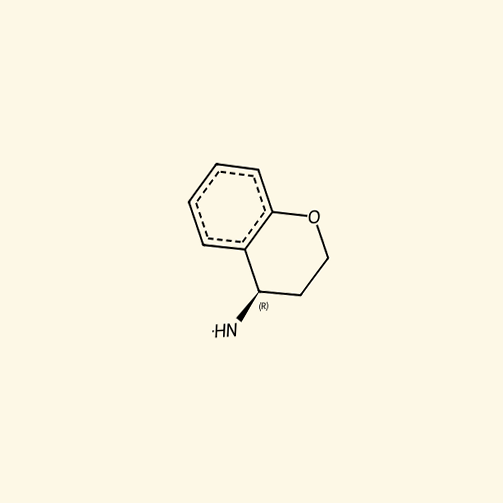 [NH][C@@H]1CCOc2ccccc21